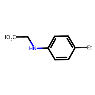 CCc1ccc(NCC(=O)O)cc1